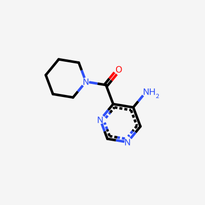 Nc1cncnc1C(=O)N1CCCCC1